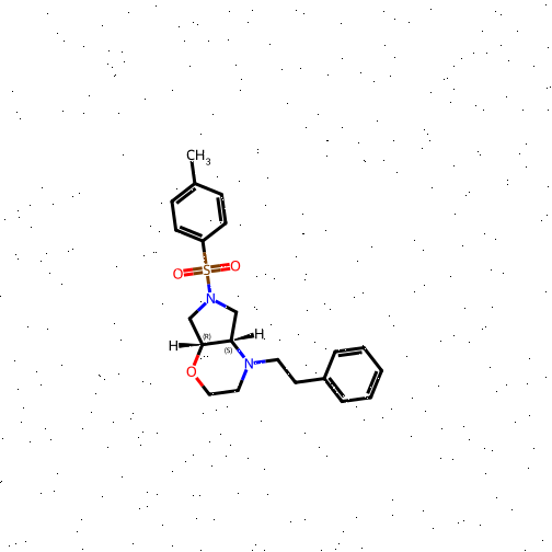 Cc1ccc(S(=O)(=O)N2C[C@H]3OCCN(CCc4ccccc4)[C@H]3C2)cc1